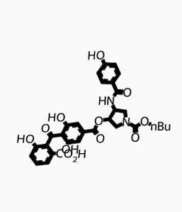 CCCCOC(=O)N1CC(NC(=O)c2ccc(O)cc2)C(OC(=O)c2cc(O)c(C(=O)c3c(O)cccc3C(=O)O)c(O)c2)C1